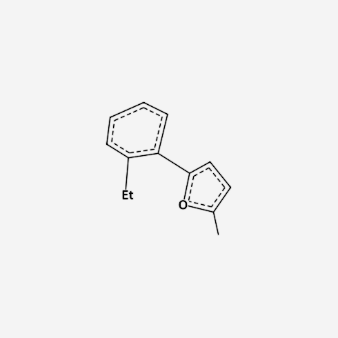 CCc1ccccc1-c1ccc(C)o1